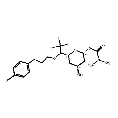 CN(C)C(=N)S[C@@H]1C[C@@H](O)C[C@@H](C(OCCCc2ccc(F)cc2)C(F)(F)F)O1